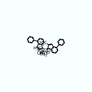 CC1=Cc2c(cccc2-c2ccccc2)[C]1=[Zr]([Cl])([Cl])([Cl])([Cl])(=[C]1C(C)=Cc2c1cccc2-c1ccccc1)=[Si](C)C